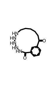 O=C1CCCCCNNNNNC(=O)c2cccc1c2